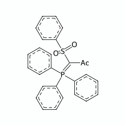 CC(=O)C(=P(c1ccccc1)(c1ccccc1)c1ccccc1)S(=O)(=O)c1ccccc1